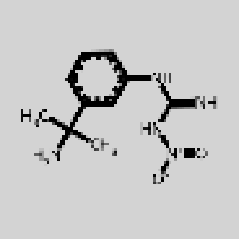 CC(C)(N)c1cccc(NC(=N)N[N+](=O)[O-])c1